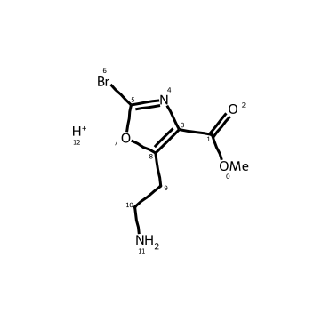 COC(=O)c1nc(Br)oc1CCN.[H+]